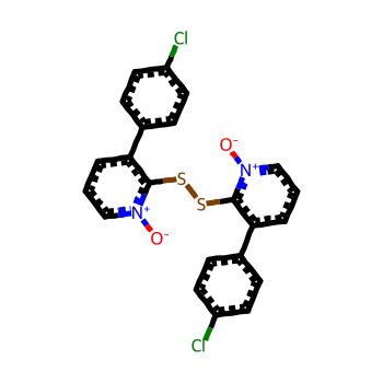 [O-][n+]1cccc(-c2ccc(Cl)cc2)c1SSc1c(-c2ccc(Cl)cc2)ccc[n+]1[O-]